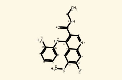 CCNC(=O)c1cnc2cc(Br)c(OC)cc2c1Nc1ccccc1C